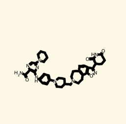 NC(=O)c1ncc(N2CCCCC2)nc1Nc1ccc(N2CCC(CN3CCc4ccc5c(C6CCC(=O)NC6=O)noc5c4CC3)CC2)cc1